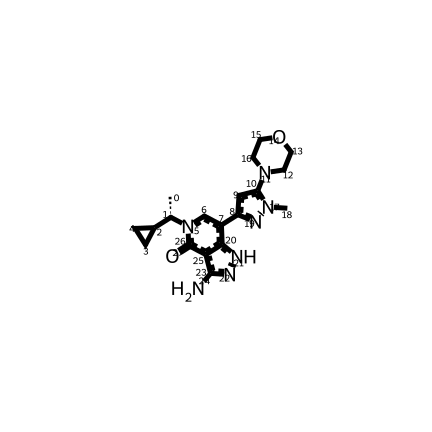 C[C@@H](C1CC1)n1cc(-c2cc(N3CCOCC3)n(C)n2)c2[nH]nc(N)c2c1=O